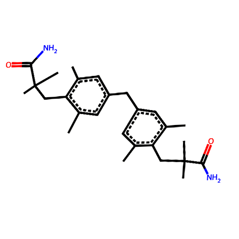 Cc1cc(Cc2cc(C)c(CC(C)(C)C(N)=O)c(C)c2)cc(C)c1CC(C)(C)C(N)=O